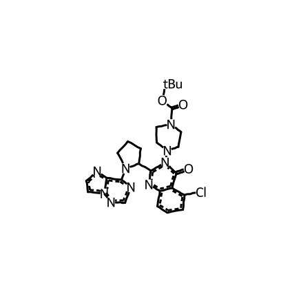 CC(C)(C)OC(=O)N1CCN(n2c(C3CCCN3c3ncnn4ccnc34)nc3cccc(Cl)c3c2=O)CC1